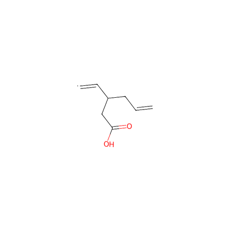 [CH]=CC(CC=C)CC(=O)O